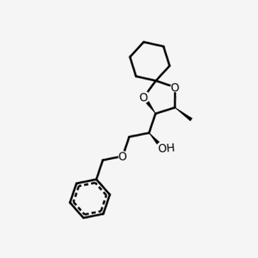 C[C@@H]1OC2(CCCCC2)O[C@@H]1[C@@H](O)COCc1ccccc1